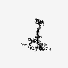 CC1(C)C(/C=C/C(=C/C=C2\N(CCCS(=O)(=O)O)c3ccc(S(=O)(=O)O)cc3C2(C)C)c2cccc(CCC(=O)NCCCOCCOCCOCCCNC(c3ccccc3)(c3ccccc3)c3ccccc3)c2)=Nc2c1cc(Cl)c[n+]2CCCS(=O)(=O)O